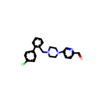 O=[C]c1ccc(N2CCN(Cc3ccccc3-c3ccc(Cl)cc3)CC2)cn1